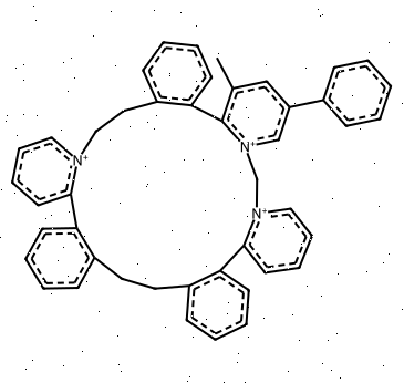 Cc1cc(-c2ccccc2)c[n+]2c1-c1ccccc1CC[n+]1ccccc1-c1ccccc1CCc1ccccc1-c1cccc[n+]1C2